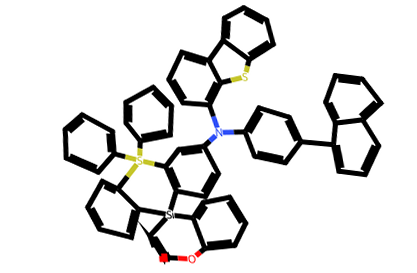 c1ccc(S2(c3ccccc3)c3ccccc3[Si]3(c4ccccc4Oc4ccccc43)c3ccc(N(c4ccc(-c5cccc6ccccc56)cc4)c4cccc5c4sc4ccccc45)cc32)cc1